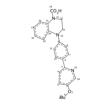 CCC(C)Oc1ccc(-c2ccc(N3CCN(C(=O)O)c4ccccc43)cc2)nc1